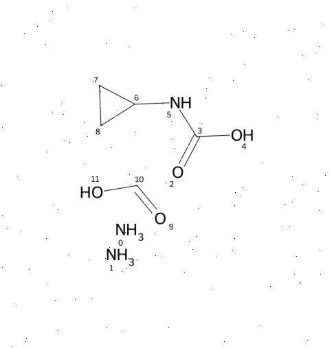 N.N.O=C(O)NC1CC1.O=CO